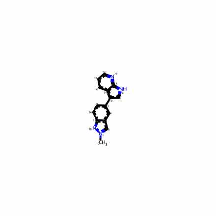 Cn1cc2cc(-c3c[nH]c4ncccc34)ccc2n1